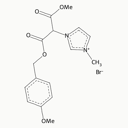 COC(=O)C(C(=O)OCc1ccc(OC)cc1)n1cc[n+](C)c1.[Br-]